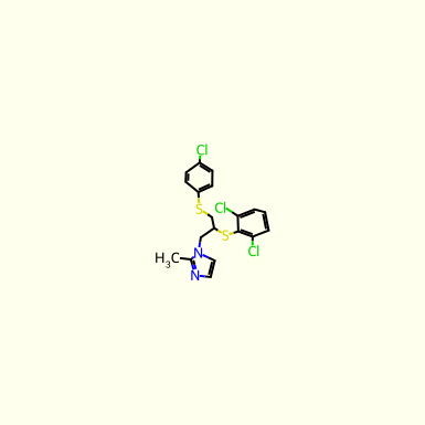 Cc1nccn1CC(CSc1ccc(Cl)cc1)Sc1c(Cl)cccc1Cl